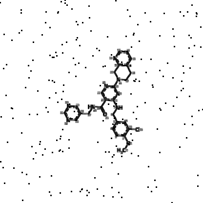 COc1ccc(CNc2nc(N3CCc4cccnc4C3)ncc2C(=O)NCc2cncnc2)cc1Cl